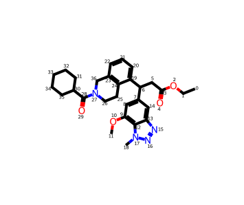 CCOC(=O)CC(c1cc(OC)c2c(c1)nnn2C)c1cccc2c1CCN(C(=O)C1CCCCC1)C2